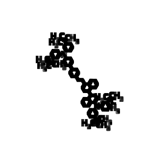 CC(C)(C)c1cccc(N(c2ccc(-c3ccc(/C=C/c4ccc(-c5ccc(N(c6cccc(C(C)(C)C)c6)c6cccc([Si](C)(C)C)c6)c6ccccc56)c5ccccc45)cc3)cc2)c2cccc([Si](C)(C)C)c2)c1